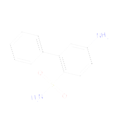 Nc1ccc(S(N)(=O)=O)c(-c2ccccc2)c1